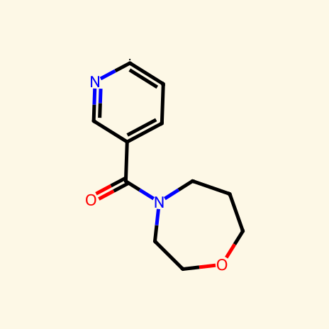 O=C(c1cc[c]nc1)N1CCCOCC1